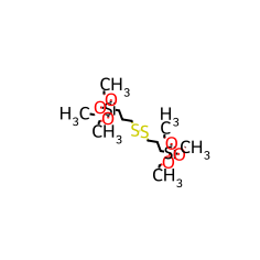 CCO[Si](CCCSSCCC[Si](OCC)(OCC)OCC)(OC)OCC